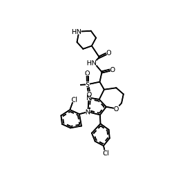 CS(=O)(=O)C(C(=O)NC(=O)C1CCNCC1)C1CCCOc2c1nn(-c1ccccc1Cl)c2-c1ccc(Cl)cc1